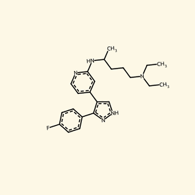 CCN(CC)CCCC(C)Nc1cc(-c2c[nH]nc2-c2ccc(F)cc2)ccn1